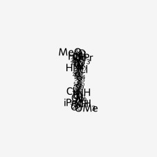 COC(=O)N[C@H](C(=O)N1[C@@H](C)CC[C@H]1C1=NC(Cl)C(c2ccc(-c3ccc4cc(C5NC([C@@H]6CC[C@H](C)N6C(=O)[C@@H](NC(=O)OC)C(C)C)=NC5Cl)ccc4c3)cc2)N1)C(C)C